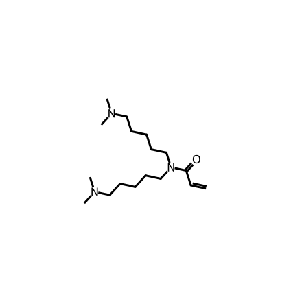 C=CC(=O)N(CCCCCN(C)C)CCCCCN(C)C